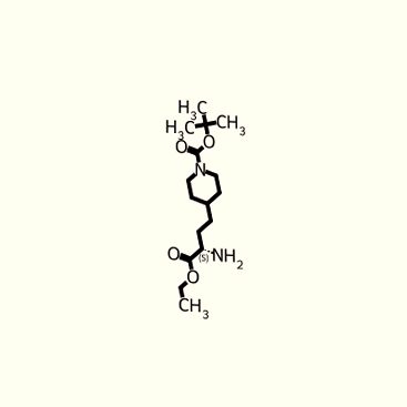 CCOC(=O)[C@@H](N)CCC1CCN(C(=O)OC(C)(C)C)CC1